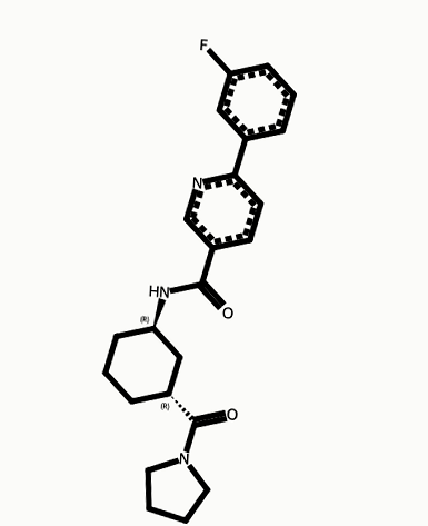 O=C(N[C@@H]1CCC[C@@H](C(=O)N2CCCC2)C1)c1ccc(-c2cccc(F)c2)nc1